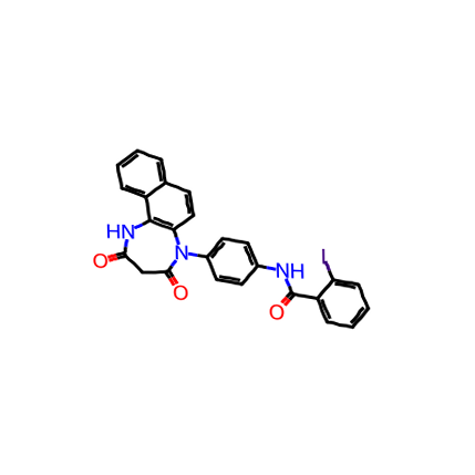 O=C1CC(=O)N(c2ccc(NC(=O)c3ccccc3I)cc2)c2ccc3ccccc3c2N1